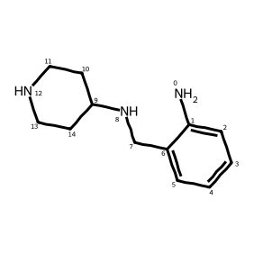 Nc1ccccc1CNC1CCNCC1